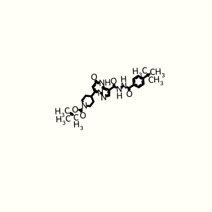 CC(C)(C)OC(=O)N1CCC(c2cc(=O)[nH]c3c(C(=O)NNC(=O)c4ccc(C(C)(C)C)cc4)cnn23)CC1